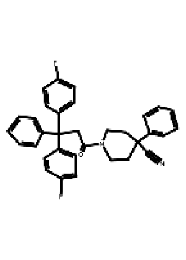 N#CC1(c2ccccc2)CCN(C(=O)CC(c2ccccc2)(c2ccc(F)cc2)c2ccc(F)cc2)CC1